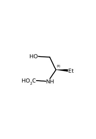 CC[C@H](CO)NC(=O)O